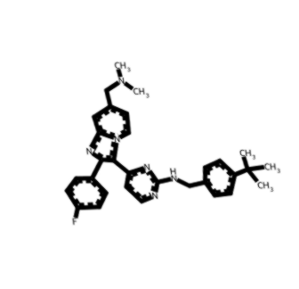 CN(C)Cc1ccn2c(-c3ccnc(NCc4ccc(C(C)(C)C)cc4)n3)c(-c3ccc(F)cc3)nc2c1